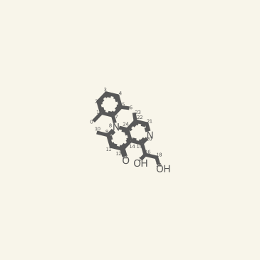 Cc1cccc(C)c1-n1c(C)cc(=O)c2c(C(O)CO)ncc(C)c21